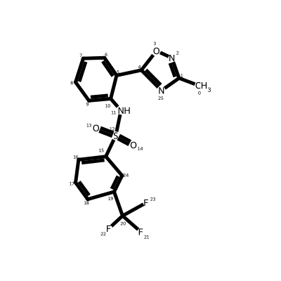 Cc1noc(-c2ccccc2NS(=O)(=O)c2cccc(C(F)(F)F)c2)n1